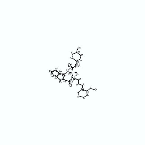 CCC1CCCCN1CCCN1C(=O)c2cc3occc3n2CC1(C)C(=O)NC1CCC(C)CC1